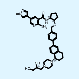 Cn1cc(-c2cnc(N)c(C(=O)N[C@H]3CCC[C@@H]3OCc3ccc(-c4ccc5c(c4)CCC[C@H]5N4CCN(C[C@H](O)CO)CC4)cc3)c2)cn1